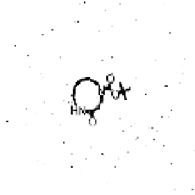 CC(C)(C)OC(=O)N1CCCCCCNC(=O)CC1